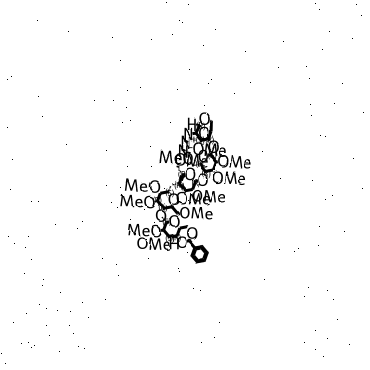 COCC1O[C@@H](C[C@H]2C(OC)C(OC)[C@@H](O[C@H]3C(OC)C(OC)[C@H](O[C@H]4C5CO[C@H](O5)C(N=[N+]=[N-])[C@@H]4OC)O[C@H]3COC)O[C@H]2COC)C(OC)[C@@H](OC)[C@@H]1O[C@@H]1OC2COC(c3ccccc3)O[C@H]2[C@H](OC)C1OC